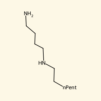 CCCCCCCNCCCCN